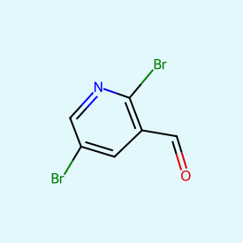 O=Cc1cc(Br)cnc1Br